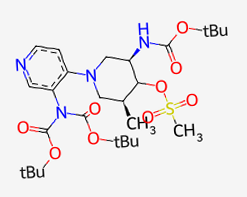 C[C@H]1CN(c2ccncc2N(C(=O)OC(C)(C)C)C(=O)OC(C)(C)C)C[C@@H](NC(=O)OC(C)(C)C)C1OS(C)(=O)=O